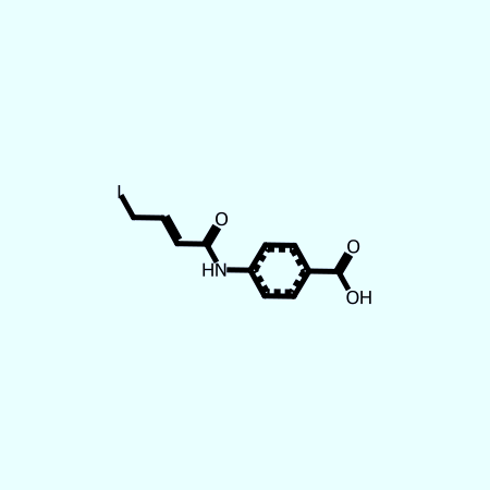 O=C(/C=C/CI)Nc1ccc(C(=O)O)cc1